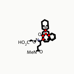 CNC(=O)CC/C(=N\OCC(=O)O)c1nc2ccccc2n(C2CC3CCCC(C2)N3C2CC3CCCCC(C3)C2)c1=O